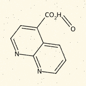 C=O.O=C(O)c1ccnc2ncccc12